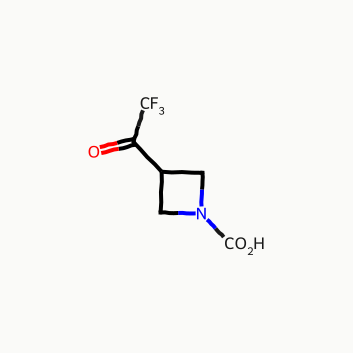 O=C(O)N1CC(C(=O)C(F)(F)F)C1